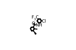 C#Cc1cccc(C(=O)Nc2cc(Cl)cc(C(F)(F)F)c2)c1C